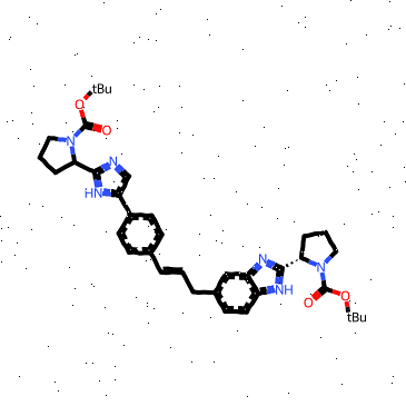 CC(C)(C)OC(=O)N1CCCC1c1ncc(-c2ccc(C=CCc3ccc4[nH]c([C@@H]5CCCN5C(=O)OC(C)(C)C)nc4c3)cc2)[nH]1